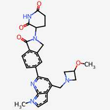 COC1CN(Cc2cc(-c3ccc4c(c3)CN(C3CCC(=O)NC3=O)C4=O)nc3c2ccn3C)C1